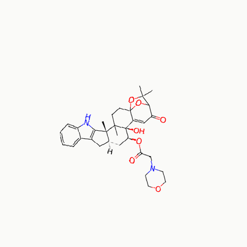 CC1(C)OC23CCC4(C)[C@@]5(C)c6[nH]c7ccccc7c6C[C@@H]5C[C@H](OC(=O)CN5CCOCC5)[C@@]4(O)C2=CC(=O)C1O3